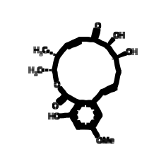 COc1cc(O)c2c(c1)/C=C/C[C@H](O)[C@H](O)C(=O)/C=C\[C@@H](C)[C@@H](C)OC2=O